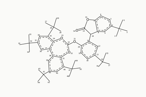 CC(C)(C)c1ccc2c(c1)C(c1cc(C(C)(C)C)ccc1Op1oc3c(C(C)(C)C)cc(C(C)(C)C)cc3c3cc(C(C)(C)C)cc(C(C)(C)C)c3o1)C(=O)O2